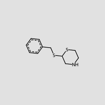 c1ccc(CSC2CNCCS2)cc1